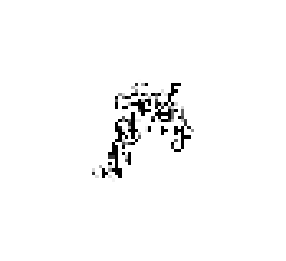 COc1cc(-c2cccc(-c3cccc(-c4ccn5c(=O)c(CNC[C@@H]6CCC(=O)N6)cnc5c4)c3Cl)c2Cl)cc(F)c1CNC[C@H]1CCC(=O)N1